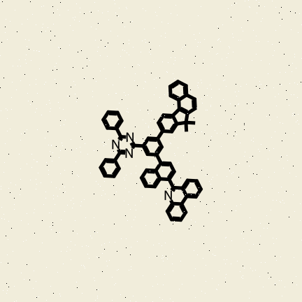 CC1(C)c2cc(-c3cc(-c4nc(-c5ccccc5)nc(-c5ccccc5)n4)cc(-c4ccc(-c5nc6ccccc6c6ccccc56)c5ccccc45)c3)ccc2-c2c1ccc1ccccc21